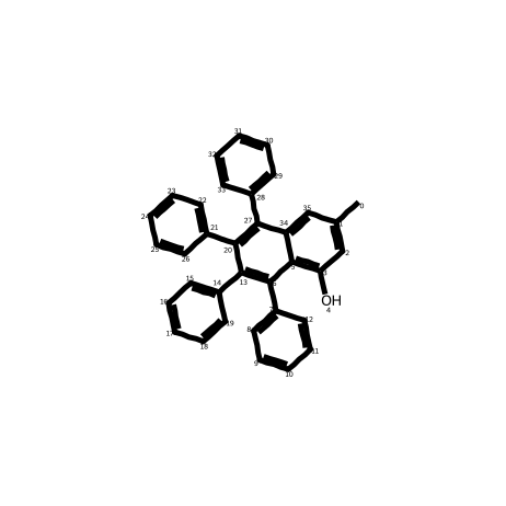 Cc1cc(O)c2c(-c3ccccc3)c(-c3ccccc3)c(-c3ccccc3)c(-c3ccccc3)c2c1